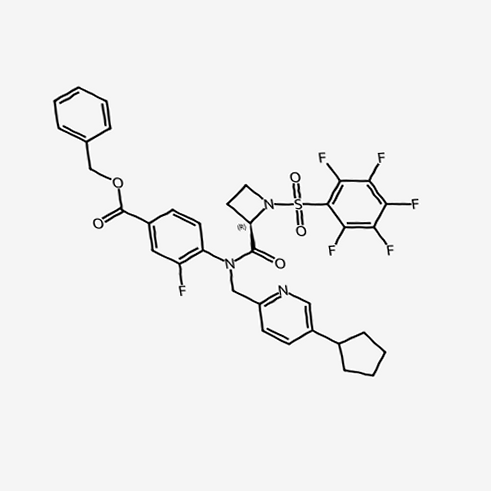 O=C(OCc1ccccc1)c1ccc(N(Cc2ccc(C3CCCC3)cn2)C(=O)[C@H]2CCN2S(=O)(=O)c2c(F)c(F)c(F)c(F)c2F)c(F)c1